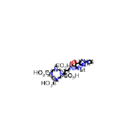 CCn1cc(C(=O)NCCCC(C(=O)O)N2CCN(CC(=O)O)CCN(CC(=O)O)CCN(CC(=O)O)CC2)c(=O)c2cnc(N3CCCC3)nc21